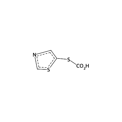 O=C(O)Sc1cncs1